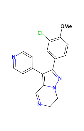 COc1ccc(-c2nn3c(c2-c2ccncc2)C=NCC3)cc1Cl